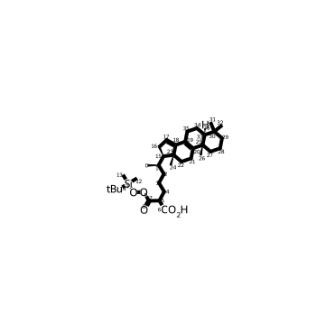 C[C@H](CCCC(C(=O)O)C(=O)OO[Si](C)(C)C(C)(C)C)[C@H]1CC=C2C3=C(CC[C@@]21C)[C@@]1(C)CCCC(C)(C)[C@@H]1CC3